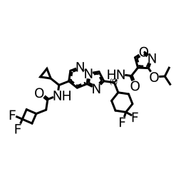 CC(C)Oc1nocc1C(=O)N[C@H](c1cn2ncc(C(NC(=O)CC3CC(F)(F)C3)C3CC3)cc2n1)C1CCC(F)(F)CC1